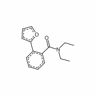 CCN(CC)C(=O)c1ccccc1-c1ccco1